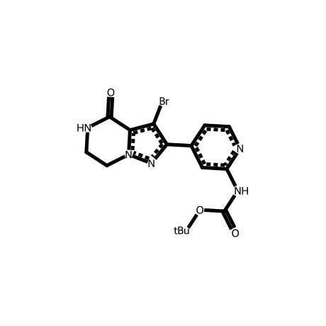 CC(C)(C)OC(=O)Nc1cc(-c2nn3c(c2Br)C(=O)NCC3)ccn1